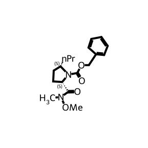 CCC[C@H]1CC[C@@H](C(=O)N(C)OC)N1C(=O)OCc1ccccc1